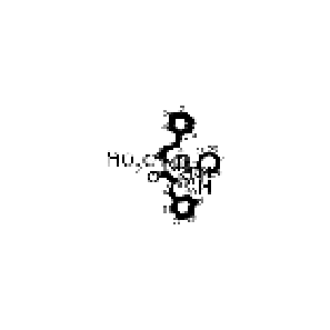 O=C(O)[C@H](CCc1ccccc1)NC(=O)[C@H](Cc1ccccc1)NC(=O)[C@@H]1CCCCN1